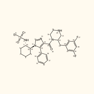 CCS(=O)(=O)N[C@H]1CCCC[C@@H]1n1cnc(C(=O)N2CCNCC2Cc2cc(F)cc(F)c2)c1-c1ccccc1